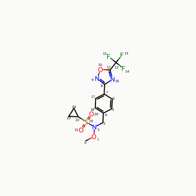 CON(Cc1ccc(-c2noc(C(F)(F)F)n2)cc1)S(=O)(=O)C1CC1